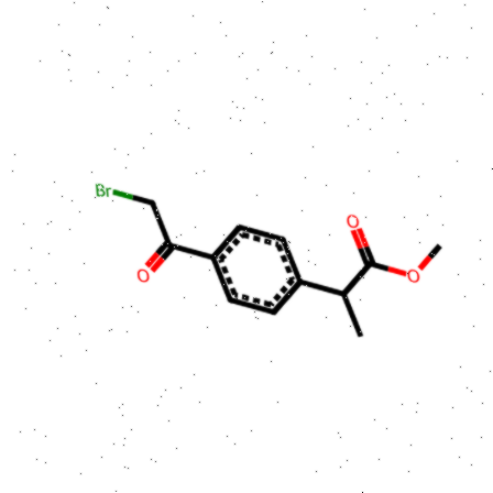 COC(=O)C(C)c1ccc(C(=O)CBr)cc1